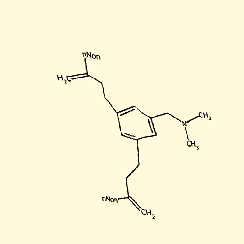 C=C(CCCCCCCCC)CCc1cc(CCC(=C)CCCCCCCCC)cc(CN(C)C)c1